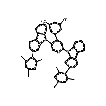 Cc1cc(C)c(-c2ccc3c4ccccc4n(-c4cc(-c5cc(C(F)(F)F)cc(C(F)(F)F)c5)c(-n5c6ccccc6c6ccc(-c7c(C)cc(C)cc7C)cc65)cn4)c3c2)c(C)c1